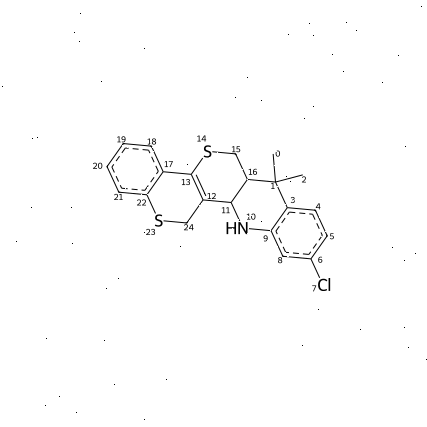 CC1(C)c2ccc(Cl)cc2NC2C3=C(SCC21)c1ccccc1SC3